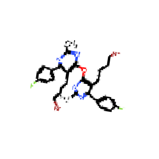 Cc1nc(Oc2nc(C)nc(-c3ccc(F)cc3)c2CCCCBr)c(CCCCBr)c(-c2ccc(F)cc2)n1